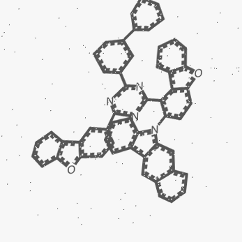 c1ccc(-c2cccc(-c3nc(-c4ccc5oc6ccccc6c5c4)nc(-c4c(-n5c6ccccc6c6cc7ccccc7cc65)ccc5oc6ccccc6c45)n3)c2)cc1